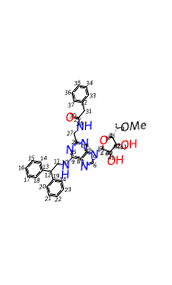 COC[C@H]1O[C@@H](n2cnc3c(NCC(c4ccccc4)c4ccccc4)nc(CNC(=O)Cc4ccccc4)nc32)[C@H](O)[C@@H]1O